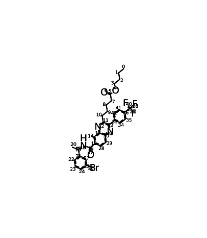 CCCCOC(=O)CCCCc1nc2cc(C(=O)N[C@H](C)c3cccc(Br)c3)ccc2nc1-c1ccc(C(F)(F)F)cc1